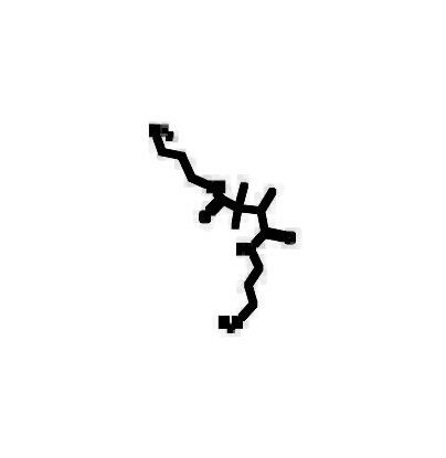 CC(C(=O)NCCCN)C(C)(C)C(=O)NCCCN